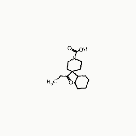 CCC(=O)C1(C2CCCCC2)CCN(C(=O)O)CC1